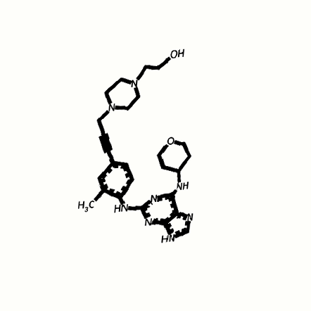 Cc1cc(C#CCN2CCN(CCO)CC2)ccc1Nc1nc(NC2CCOCC2)c2nc[nH]c2n1